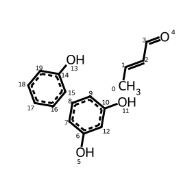 C/C=C/C=O.Oc1cccc(O)c1.Oc1ccccc1